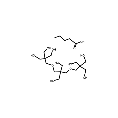 CCCCC(=O)O.OCC(CO)(CO)COCC(CO)(CO)COCC(CO)(CO)CO